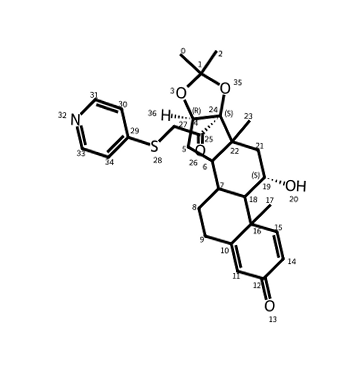 CC1(C)O[C@@H]2CC3C4CCC5=CC(=O)C=CC5(C)C4[C@@H](O)CC3(C)[C@]2(C(=O)CSc2ccncc2)O1